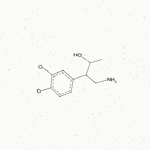 CC(O)C(CN)c1ccc(Cl)c(Cl)c1